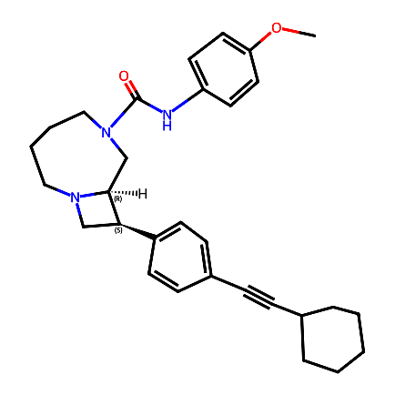 COc1ccc(NC(=O)N2CCCCN3C[C@H](c4ccc(C#CC5CCCCC5)cc4)[C@@H]3C2)cc1